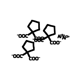 O=C([O-])C1(C(=O)[O-])CCCC1.O=C([O-])C1(C(=O)[O-])CCCC1.O=C([O-])C1(C(=O)[O-])CCCC1.[Al+3].[Al+3]